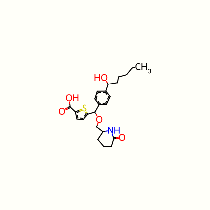 CCCCCC(O)c1ccc([C@@H](OCC2CCCC(=O)N2)c2ccc(C(=O)O)s2)cc1